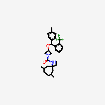 CCC1(NC(=O)N2CC(OC(c3ccc(C)cc3)c3ccccc3C(F)(F)F)C2)CC(C)CCC(C)C1